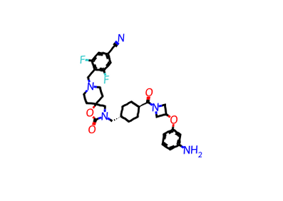 N#Cc1cc(F)c(CN2CCC3(CC2)CN(C[C@H]2CC[C@H](C(=O)N4CC(Oc5cccc(N)c5)C4)CC2)C(=O)O3)c(F)c1